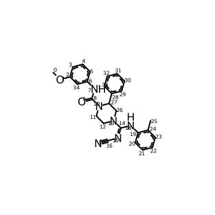 COc1cccc(NC(=O)N2CCN(/C(=N\C#N)Nc3ccccc3C)CC2c2ccccc2)c1